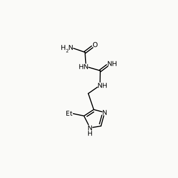 CCc1[nH]cnc1CNC(=N)NC(N)=O